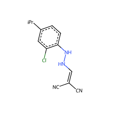 CC(C)c1ccc(NNC=C(C#N)C#N)c(Cl)c1